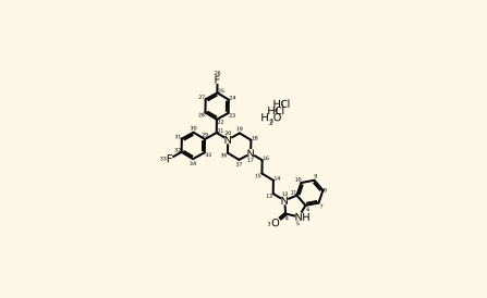 Cl.Cl.O.O=c1[nH]c2ccccc2n1CCCCN1CCN(C(c2ccc(F)cc2)c2ccc(F)cc2)CC1